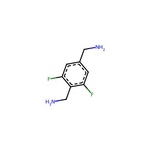 NCc1cc(F)c(CN)c(F)c1